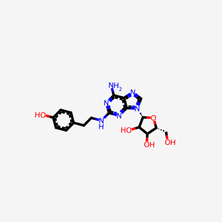 Nc1nc(NCCc2ccc(O)cc2)nc2c1ncn2[C@@H]1O[C@H](CO)C(O)C1O